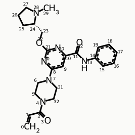 C=CC(=O)N1CCN(c2cc(C(=O)Nc3ccccc3)nc(OC[C@@H]3CCCN3C)n2)CC1